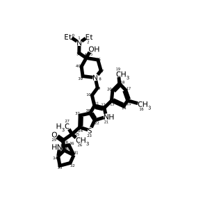 CCN(CC)CC1(O)CCN(CCc2c(-c3cc(C)cc(C)c3)[nH]c3sc(C(C)(C)C(=O)C4C5CCC4NC5)cc23)CC1